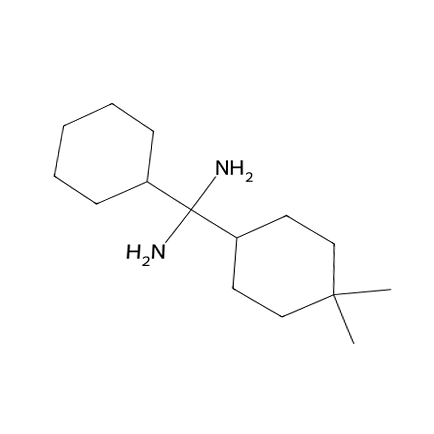 CC1(C)CCC(C(N)(N)C2CCCCC2)CC1